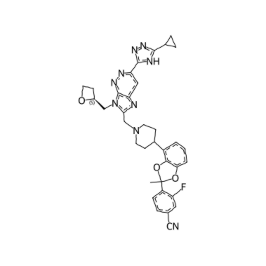 CC1(c2ccc(C#N)cc2F)Oc2cccc(C3CCN(Cc4nc5cc(-c6nnc(C7CC7)[nH]6)nnc5n4C[C@@H]4CCO4)CC3)c2O1